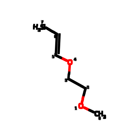 COCCOC=C[SiH3]